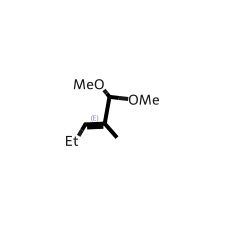 CC/C=C(\C)C(OC)OC